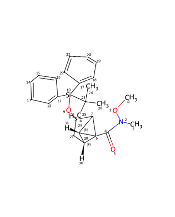 CON(C)C(=O)C12C3C(O[Si](c4ccccc4)(c4ccccc4)C(C)(C)C)C[C@@H]1[C@H]32